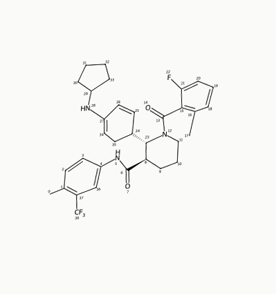 Cc1ccc(NC(=O)[C@@H]2CCCN(C(=O)c3c(C)cccc3F)[C@H]2C2C=CC(NC3CCCC3)=CC2)cc1C(F)(F)F